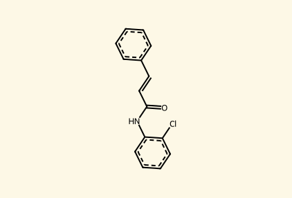 O=C(C=Cc1ccccc1)Nc1ccccc1Cl